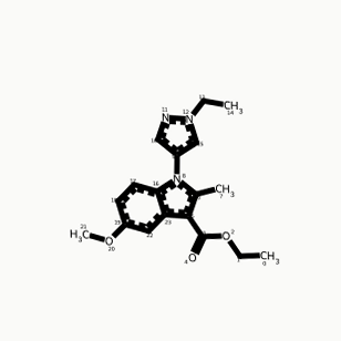 CCOC(=O)c1c(C)n(-c2cnn(CC)c2)c2ccc(OC)cc12